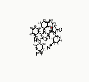 N#Cc1ccnc(N2C(=O)CC[C@H]2C(=O)N(c2cccc3nc[nH]c23)C(C(=O)NC2CCC(F)(F)CC2)c2ccccc2Cl)c1